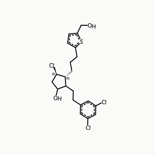 OCc1ccc(CCC[C@@H]2C(CCc3cc(Cl)cc(Cl)c3)C(O)C[C@H]2Cl)s1